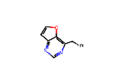 CC(C)Cc1ncnc2ccoc12